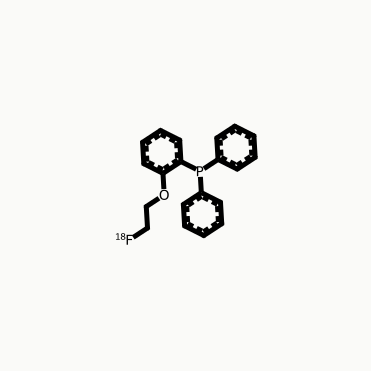 [18F]CCOc1ccccc1P(c1ccccc1)c1ccccc1